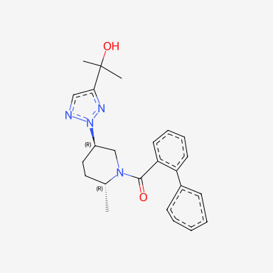 C[C@@H]1CC[C@@H](n2ncc(C(C)(C)O)n2)CN1C(=O)c1ccccc1-c1ccccc1